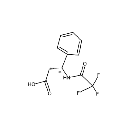 O=C(O)C[C@@H](NC(=O)C(F)(F)F)c1ccccc1